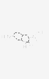 CCN(C)c1cc2ccc(N)cc2[nH]c1=O